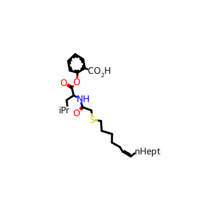 CCCCCCC/C=C\CCCCCSCC(=O)NC(CC(C)C)C(=O)Oc1ccccc1C(=O)O